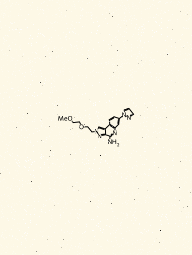 COCCOCCn1cc2c(n1)c(N)nc1cc(-n3cccn3)ccc12